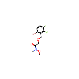 CON(C)C(=O)COCc1c(Br)ccc(F)c1F